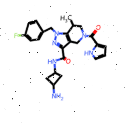 CC1CN(C(=O)c2ccc[nH]2)Cc2c(C(=O)NC3CC(N)C3)nn(Cc3ccc(F)cc3)c21